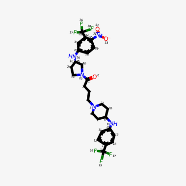 O=C(CCCN1CCC(Nc2ccc(C(F)(F)F)cc2)CC1)N1CC[C@@H](Nc2ccc([N+](=O)[O-])c(C(F)(F)F)c2)C1